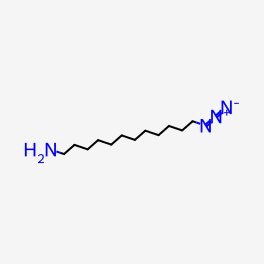 [N-]=[N+]=NCCCCCCCCCCCCN